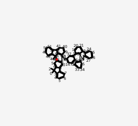 CC1(C)c2ccccc2-c2cc(N(c3cccc(-c4cccc5c6ccccc6n(-c6ccccc6)c45)c3)c3cccc4c3C(C)(C)c3ccccc3-4)ccc21